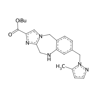 Cc1ccnn1Cc1ccc2c(c1)NCc1nc(C(=O)OCC(C)C)cn1C2